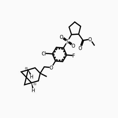 COC(=O)C1CCCC1S(=O)(=O)c1cc(Cl)c(OCC2(C)C[C@@H]3CC34C[C@@H]4C2)cc1F